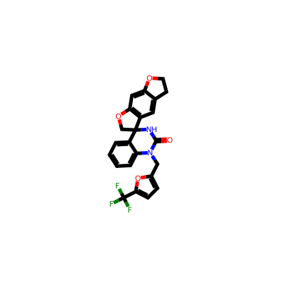 O=C1NC2(COc3cc4c(cc32)CCO4)c2ccccc2N1Cc1ccc(C(F)(F)F)o1